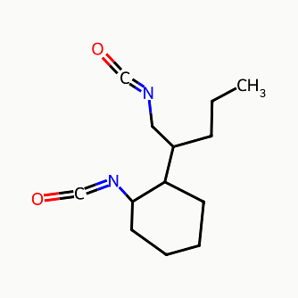 CCCC(CN=C=O)C1CCCCC1N=C=O